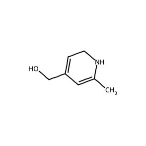 CC1=CC(CO)=CCN1